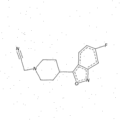 N#CCN1CCC(c2onc3cc(F)ccc23)CC1